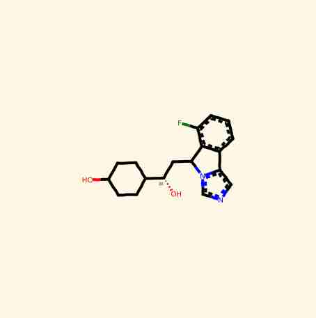 OC1CCC([C@@H](O)CC2c3c(F)cccc3-c3cncn32)CC1